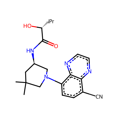 CC(C)[C@@H](O)C(=O)N[C@H]1CN(c2ccc(C#N)c3nccnc23)CC(C)(C)C1